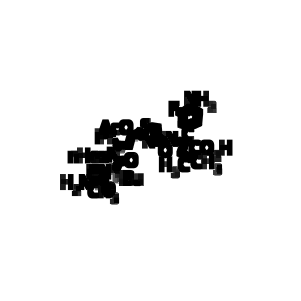 CCCCCCN(C(=O)[C@@H](NC(=O)[C@](C)(N)CC)[C@@H](C)CC)[C@H](C[C@@H](OC(C)=O)c1nc(C(=O)N[C@@H](Cc2ccc(N)c(F)c2)CC(C)(C)C(=O)O)cs1)C(C)C